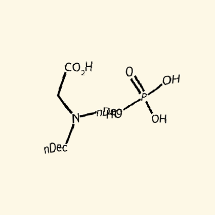 CCCCCCCCCCN(CCCCCCCCCC)CC(=O)O.O=P(O)(O)O